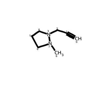 C#CCN1CCCN1C